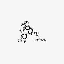 CC(O)CCNc1nc(-c2ccc(Cl)c(Cl)c2)c2c(N)c(C(N)=O)sc2n1